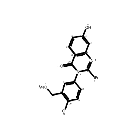 COCc1cc(-n2c(C(C)C)nc3cc(O)ccc3c2=O)ccc1Cl